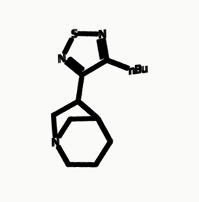 CCCCc1nsnc1C1CN2CCCC1C2